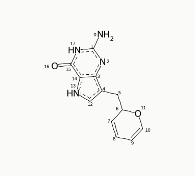 Nc1nc2c(CC3C=CC=CO3)c[nH]c2c(=O)[nH]1